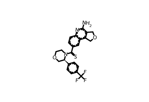 Nc1nc2ccc(C(=S)N3CCOC[C@@H]3c3ccc(C(F)(F)F)cc3)cc2c2c1COC2